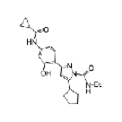 CCNC(=O)n1nc(-c2ccc(NC(=O)C3CC3)cc2O)cc1C1CCCC1